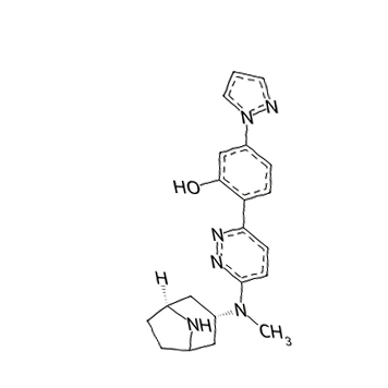 CN(c1ccc(-c2ccc(-n3cccn3)cc2O)nn1)[C@@H]1CC2CC[C@@H](C1)N2